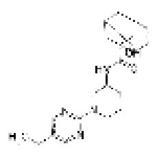 CCc1cnc(N2CCC[C@H](NC(=O)C34CC5CC(C3)C(O)C(C5)C4)C2)nc1